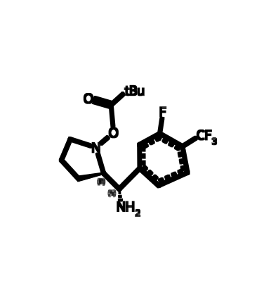 CC(C)(C)C(=O)ON1CCC[C@@H]1[C@@H](N)c1ccc(C(F)(F)F)c(F)c1